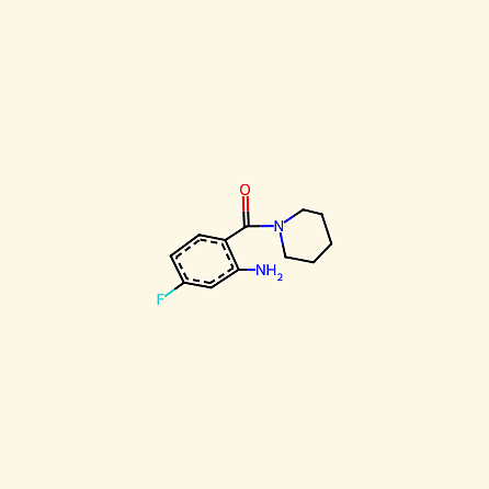 Nc1cc(F)ccc1C(=O)N1CCCCC1